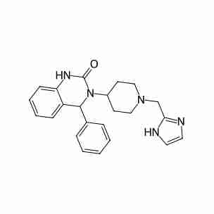 O=C1Nc2ccccc2C(c2ccccc2)N1C1CCN(Cc2ncc[nH]2)CC1